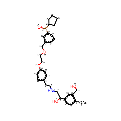 CC(=O)Oc1ccc(C(O)CNCCc2ccc(OCCOCc3cccc([S+]([O-])C4CCCC4)c3)cc2)cc1CO